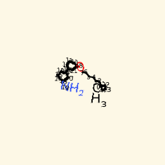 CC1(CCCCCCOc2cccc(-c3cccc(N)c3)c2)CCC1